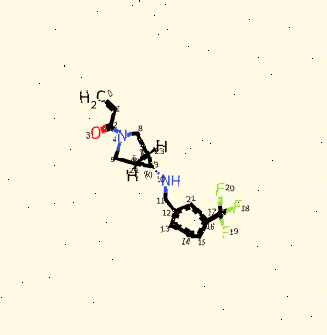 C=CC(=O)N1C[C@@H]2[C@H](C1)[C@@H]2NCc1cccc(C(F)(F)F)c1